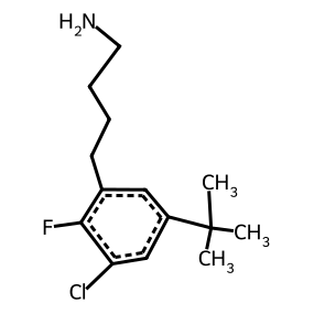 CC(C)(C)c1cc(Cl)c(F)c(CCCCN)c1